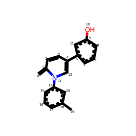 C=C1C=CC(c2cccc(O)c2)=CN1c1cccc(C)c1